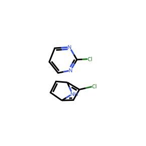 Clc1cc2ccc1[nH]2.Clc1ncccn1